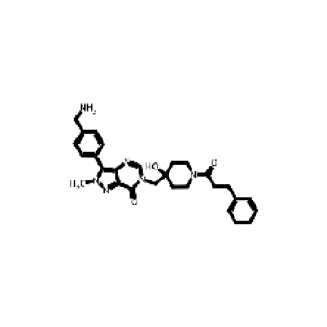 Cn1nc2c(=O)n(CC3(O)CCN(C(=O)CCC4=CCCC=C4)CC3)cnc2c1-c1ccc(CN)cc1